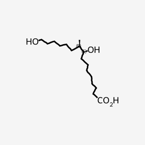 C[C@H](CCCCCCO)[C@@H](O)CCCCCCCC(=O)O